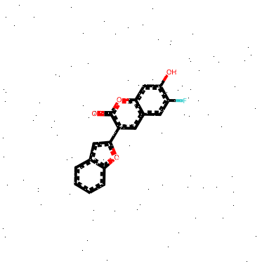 O=c1oc2cc(O)c(F)cc2cc1-c1cc2ccccc2o1